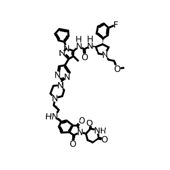 COCCN1C[C@@H](NC(=O)Nc2c(C)c(-c3cnc(N4CCN(CCNc5ccc6c(c5)C(=O)N(C5CCC(=O)NC5=O)C6=O)CC4)nc3)nn2-c2ccccc2)[C@H](c2cccc(F)c2)C1